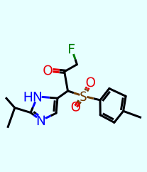 Cc1ccc(S(=O)(=O)C(C(=O)CF)c2cnc(C(C)C)[nH]2)cc1